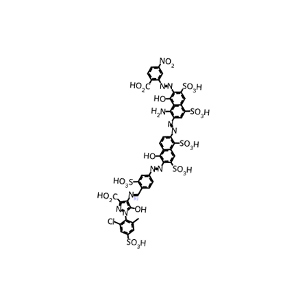 Cc1cc(S(=O)(=O)O)cc(Cl)c1-n1nc(C(=O)O)c(/N=C/c2ccc(N=Nc3c(S(=O)(=O)O)cc4c(S(=O)(=O)O)c(N=Nc5cc(S(=O)(=O)O)c6cc(S(=O)(=O)O)c(N=Nc7cc([N+](=O)[O-])ccc7C(=O)O)c(O)c6c5N)ccc4c3O)cc2S(=O)(=O)O)c1O